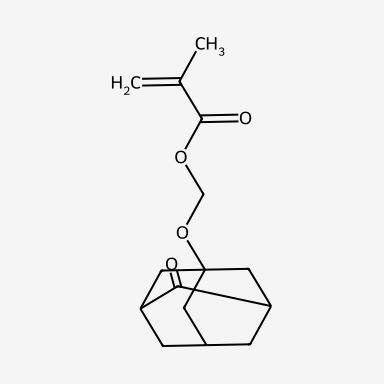 C=C(C)C(=O)OCOC12CC3CC(C1)C(=O)C(C3)C2